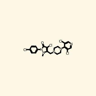 Cn1c(CN2CCN(c3c(Cl)cncc3Cl)CC2)c(Cl)c(=O)n1-c1ccc(Cl)cc1